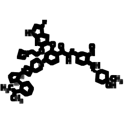 CC(C)c1ccccc1[C@H]1CCC[C@H]1N1CC2(CCN(c3ccc(C(=O)NSc4ccc(NC[C@H]5CC[C@](C)(O)CC5)c(N=O)c4)c(Oc4cc5c(F)c[nH]c5nc4OCCN4CCC4)c3)CC2)C1